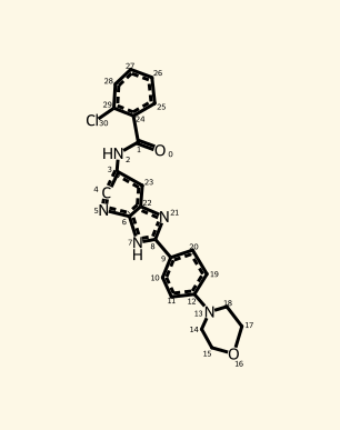 O=C(Nc1cnc2[nH]c(-c3ccc(N4CCOCC4)cc3)nc2c1)c1ccccc1Cl